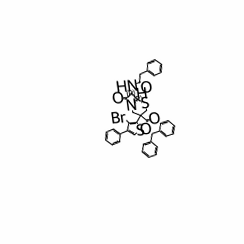 O=C(Cc1ccccc1)N[C@@H]1C(=O)N2CC(C(=O)OC(c3ccccc3)c3ccccc3)(c3scc(-c4ccccc4)c3Br)CS[C@H]12